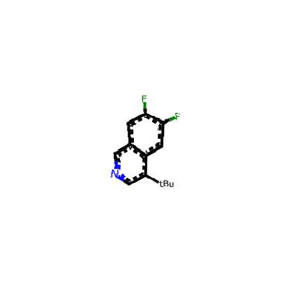 CC(C)(C)c1cncc2cc(F)c(F)cc12